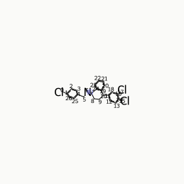 Clc1ccc(C/N=C2\CCC(c3ccc(Cl)c(Cl)c3)c3ccccc32)cc1